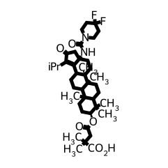 CC(C)C1=C2C3CCC4C5(C)CC[C@H](OC(=O)CC(C)(C)C(=O)O)C(C)(C)C5CCC4(C)[C@]3(C)CCC2(NC(=O)N2CCC(F)(F)CC2)CC1=O